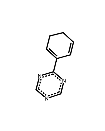 C1=CC(c2ncncn2)=CCC1